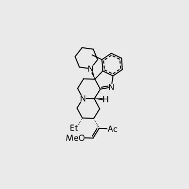 CC[C@@H]1CN2CC[C@@]3(N4CCCCC4)C(=Nc4cccc(C)c43)[C@@H]2C[C@@H]1/C(=C\OC)C(C)=O